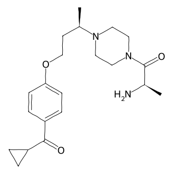 C[C@H](CCOc1ccc(C(=O)C2CC2)cc1)N1CCN(C(=O)[C@@H](C)N)CC1